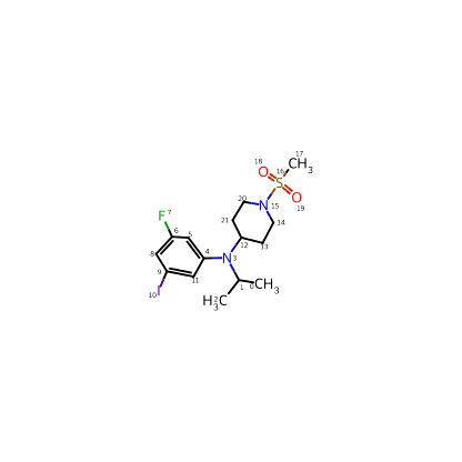 CC(C)N(c1cc(F)cc(I)c1)C1CCN(S(C)(=O)=O)CC1